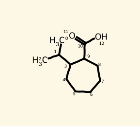 CC(C)C1CCCCCC1C(=O)O